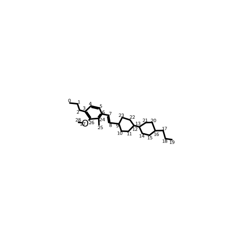 CCCc1ccc(/C=C/C2CCC(C3CCC(CCC)CC3)CC2)c(C)c1OC